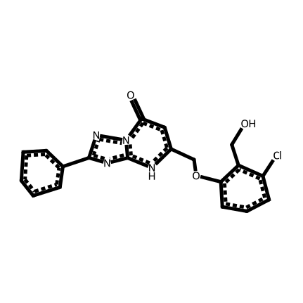 O=c1cc(COc2cccc(Cl)c2CO)[nH]c2nc(-c3ccccc3)nn12